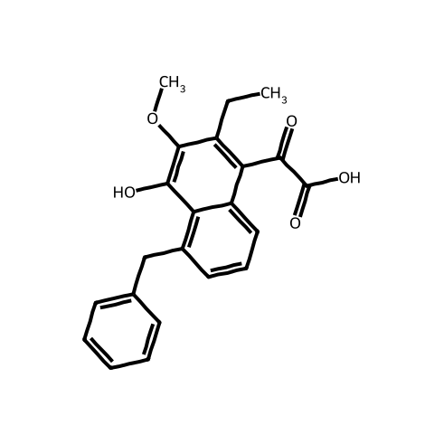 CCc1c(OC)c(O)c2c(Cc3ccccc3)cccc2c1C(=O)C(=O)O